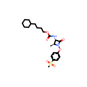 C[C@H]1[C@H](NC(=O)OCCCCC2CCCCC2)C(=O)N1Oc1ccc(S(C)(=O)=O)cc1